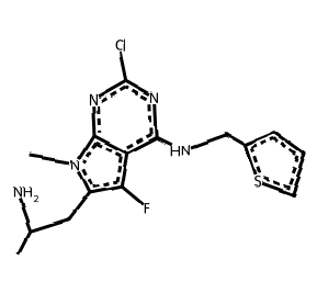 CC(N)Cc1c(F)c2c(NCc3cccs3)nc(Cl)nc2n1C